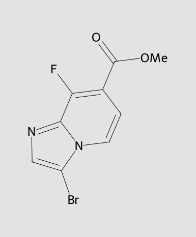 COC(=O)c1ccn2c(Br)cnc2c1F